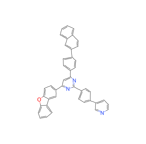 c1cncc(-c2ccc(-c3nc(-c4ccc(-c5ccc6ccccc6c5)cc4)cc(-c4ccc5oc6ccccc6c5c4)n3)cc2)c1